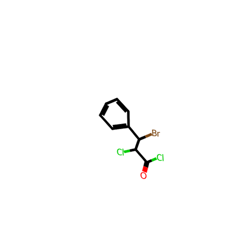 O=C(Cl)C(Cl)C(Br)c1ccccc1